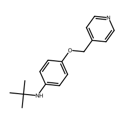 CC(C)(C)Nc1ccc(OCc2ccncc2)cc1